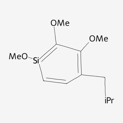 COc1c(CC(C)C)cc[si](OC)c1OC